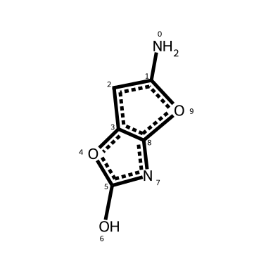 Nc1cc2oc(O)nc2o1